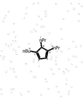 CCCCC1=CC=C(CCC)C1CCC